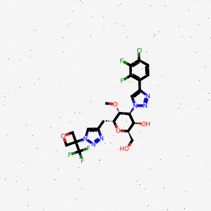 CO[C@@H]1[C@@H](n2cc(-c3ccc(Cl)c(F)c3F)nn2)[C@@H](O)[C@@H](CO)O[C@@H]1Cc1cn(C2(C(F)(F)F)COC2)nn1